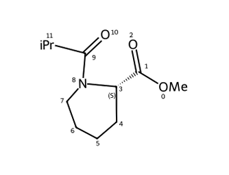 COC(=O)[C@@H]1CCCCN1C(=O)C(C)C